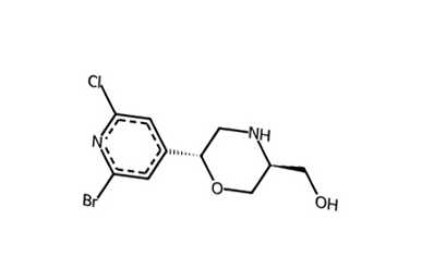 OC[C@H]1CO[C@H](c2cc(Cl)nc(Br)c2)CN1